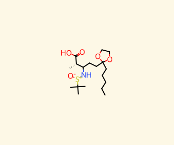 CCCCCC1(CCC(N[S@@+]([O-])C(C)(C)C)[C@H](C)C(=O)O)OCCO1